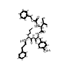 CCCC[C@H](NCCc1ccccc1)C(=O)NC(=O)[C@H](Cc1ccc(O)cc1)NC(=O)[C@@H](NC(=O)OCc1ccccc1)C(C)C